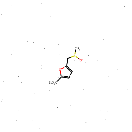 CCOC(=O)c1ccc(C[S+](C)[O-])o1